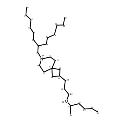 CCCCCCC(CCCCCC)CN1CCC2(CC1)CC(CCCOC(C)CCCC)C2